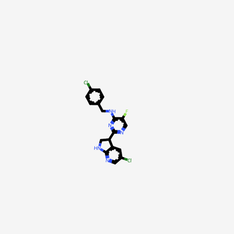 Fc1cnc(C2CNc3ncc(Cl)cc32)nc1NCc1ccc(Cl)cc1